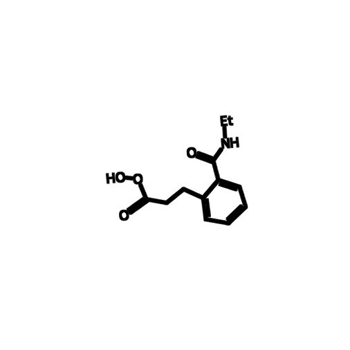 CCNC(=O)c1ccccc1CCC(=O)OO